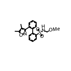 COCNS(=O)(=O)c1ccccc1-c1ccccc1-c1noc(C)c1C